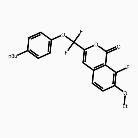 CCCCc1ccc(OC(F)(F)c2cc3ccc(OCC)c(F)c3c(=O)o2)cc1